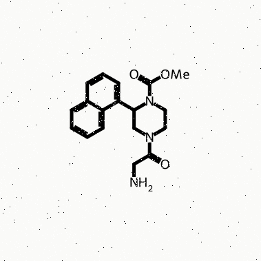 COC(=O)N1CCN(C(=O)CN)CC1c1cccc2ccccc12